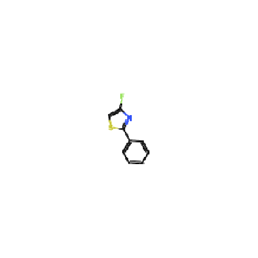 Fc1csc(-c2cc[c]cc2)n1